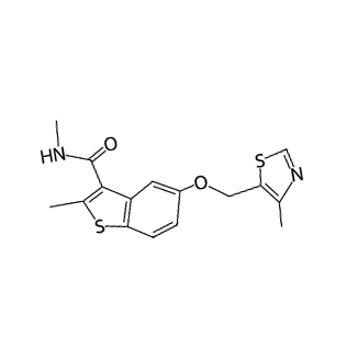 CNC(=O)c1c(C)sc2ccc(OCc3scnc3C)cc12